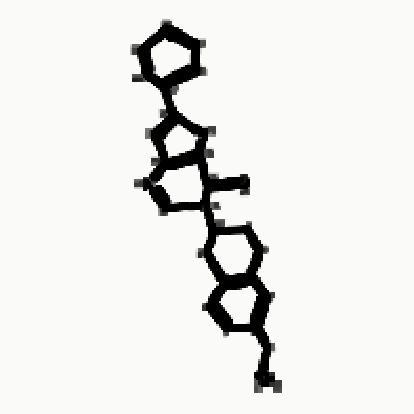 NCc1ccc2c(c1)CCC(n1cnc3cc(-c4ccccc4)sc3c1=O)C2